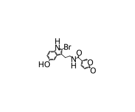 O=C(NCCc1c(Br)[nH]c2ccc(O)cc12)c1ccc(=O)oc1